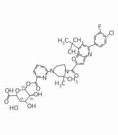 CC(C)(C)c1cc(-c2ccc(Cl)c(F)c2)nc2cc(C(=O)N3CCN(c4cccc(C(=O)O[C@@H]5OC(C(=O)O)[C@@H](O)C(O)[C@@H]5O)n4)CC3(C)C)oc12